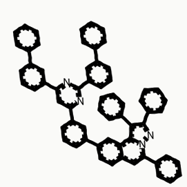 c1ccc(-c2cccc(-c3cc(-c4cccc(-c5ccc6cc(-c7ccccc7)n7nc(-c8ccccc8)c(-c8ccccc8)c7c6c5)c4)nc(-c4cccc(-c5ccccc5)c4)n3)c2)cc1